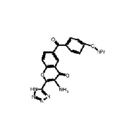 CCCOc1ccc(C(=O)c2ccc3oc(-c4nnn[nH]4)c(N)c(=O)c3c2)cc1